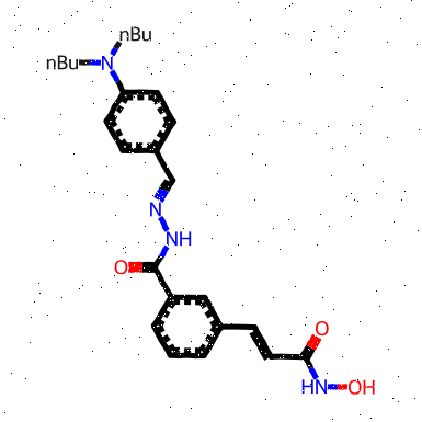 CCCCN(CCCC)c1ccc(/C=N/NC(=O)c2cccc(/C=C/C(=O)NO)c2)cc1